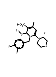 CCSC1C(C(=O)O)=C(C)C=C(N2CCOC[C@H]2C)N1Cc1ccc(F)c(F)c1